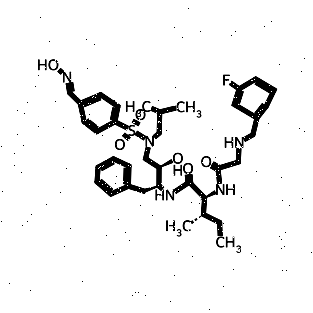 CC[C@H](C)[C@H](NC(=O)CNCc1cccc(F)c1)C(=O)N[C@@H](Cc1ccccc1)[C@H](O)CN(CC(C)C)S(=O)(=O)c1ccc(/C=N/O)cc1